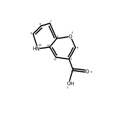 O=C(O)C1=COC2=CC=CNC2=C1